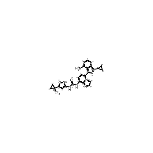 Nc1ncnc2c1c(-c1ccc(NC(=O)Nc3cc(C4(C(F)(F)F)CC4)on3)c3nccn13)nn2C1CC1